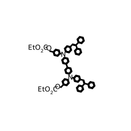 CCOC(=O)OCc1ccc(N(c2ccc(C=C(c3ccccc3)c3ccccc3)cc2)c2ccc(-c3ccc(N(c4ccc(C=C(c5ccccc5)c5ccccc5)cc4)c4ccc(COC(=O)OCC)cc4)cc3)cc2)cc1